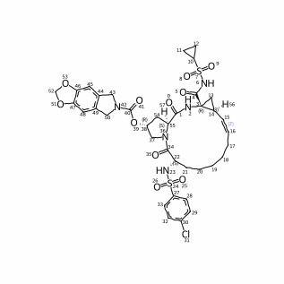 O=C1N[C@]2(C(=O)NS(=O)(=O)C3CC3)C[C@H]2/C=C\CCCCC[C@H](NS(=O)(=O)c2ccc(Cl)cc2)C(=O)N2C[C@H](OC(=O)N3Cc4cc5c(cc4C3)OCO5)C[C@@H]12